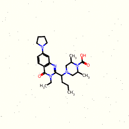 CCCC(c1nc2cc(N3CCCC3)ccc2c(=O)n1CC)N1CC(C)N(C(=O)O)C(C)C1